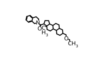 CCOCC1CCC2C(CCC3C2CCC2(C)C(C(=O)N4CCc5ccccc5C4)CCC32)C1